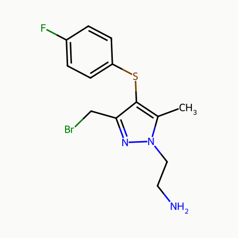 Cc1c(Sc2ccc(F)cc2)c(CBr)nn1CCN